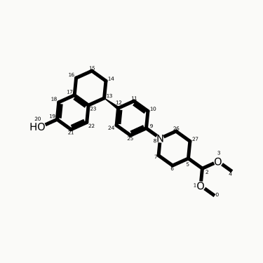 COC(OC)C1CCN(c2ccc([C@@H]3CCCc4cc(O)ccc43)cc2)CC1